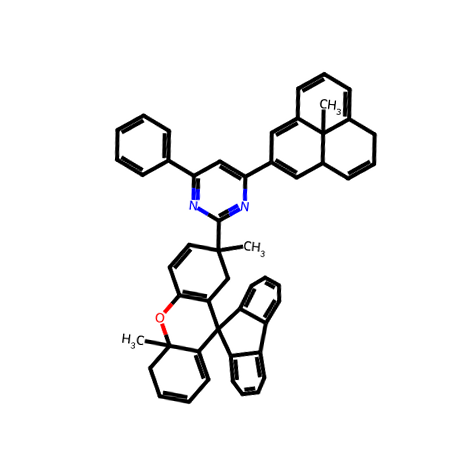 CC12CC=CC=C1C1(C3=C(C=CC(C)(c4nc(C5=CC6C=CCC7=CC=CC(=C5)C76C)cc(-c5ccccc5)n4)C3)O2)c2ccccc2-c2ccccc21